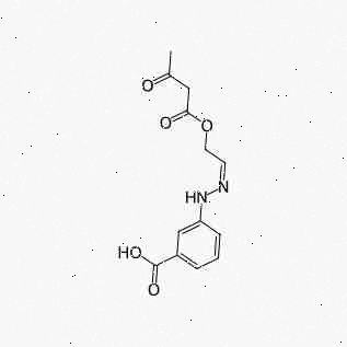 CC(=O)CC(=O)OC/C=N\Nc1cccc(C(=O)O)c1